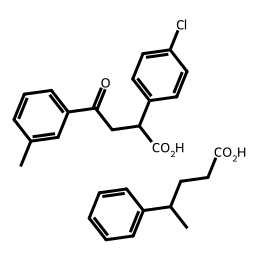 CC(CCC(=O)O)c1ccccc1.Cc1cccc(C(=O)CC(C(=O)O)c2ccc(Cl)cc2)c1